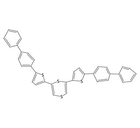 C1=C(c2ccc(-c3ccc(-c4ccccc4)cc3)s2)SC(c2ccc(-c3ccc(-c4ccccc4)cc3)s2)=CS1